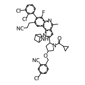 Cc1nc2c(F)c(-c3cccc(Cl)c3Cl)c(CCC#N)cc2c2c1cc(C1CC(OCc3ccc(Cl)cc3C#N)CN1C(=O)C1CC1)n2C1C2CNC1C2